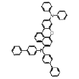 c1ccc(-c2ccc(N(c3ccc(-c4ccccc4)cc3)c3ccc4c5c(cccc35)-c3ccc(N(c5ccccc5)c5ccccc5)cc3O4)cc2)cc1